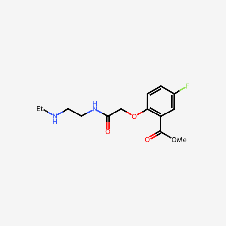 CCNCCNC(=O)COc1ccc(F)cc1C(=O)OC